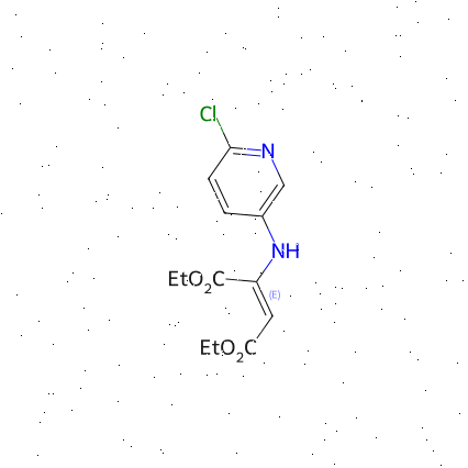 CCOC(=O)/C=C(/Nc1ccc(Cl)nc1)C(=O)OCC